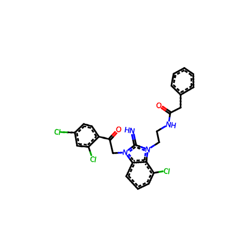 N=c1n(CC(=O)c2ccc(Cl)cc2Cl)c2cccc(Cl)c2n1CCNC(=O)Cc1ccccc1